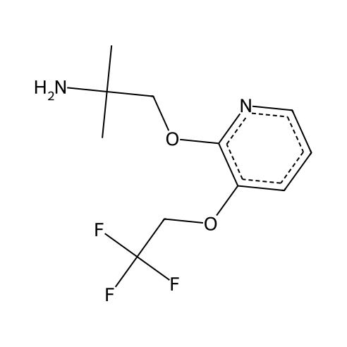 CC(C)(N)COc1ncccc1OCC(F)(F)F